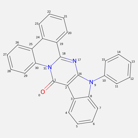 O=c1c2c3ccccc3n(-c3ccccc3)c2nc2c3ccccc3c3ccccc3n12